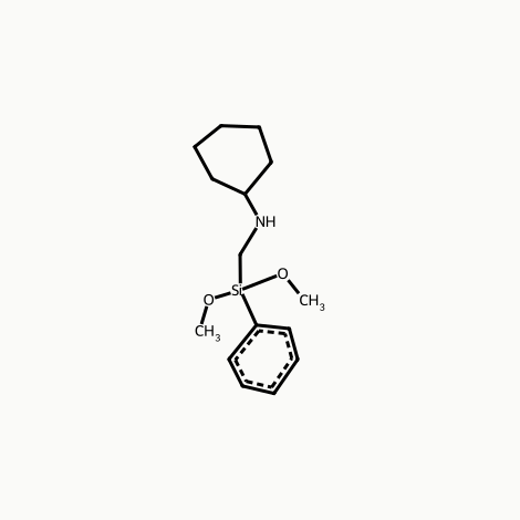 CO[Si](CNC1CCCCC1)(OC)c1ccccc1